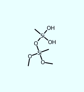 CO[Si](C)(OC)O[Si](C)(O)O